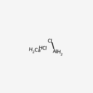 Cl.[AlH2][Cl].[CaH2]